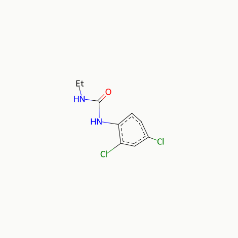 CCNC(=O)Nc1ccc(Cl)cc1Cl